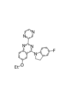 CCOc1ccc2nc(-c3cnccn3)nc(N3CCc4cc(F)ccc43)c2c1